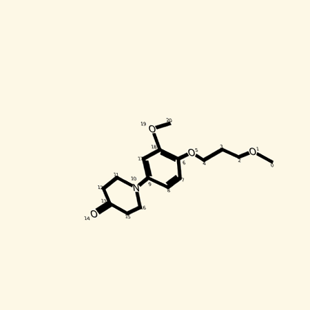 COCCCOc1ccc(N2CCC(=O)CC2)cc1OC